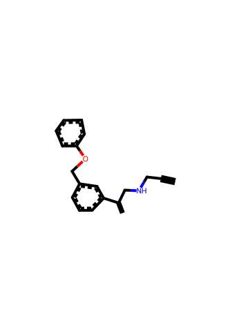 C#CCNCC(=C)c1cccc(COc2ccccc2)c1